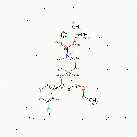 CCO[C@H]1C[C@@H](c2cccc(F)c2)OC2(CCN(C(=O)OC(C)(C)C)CC2)C1